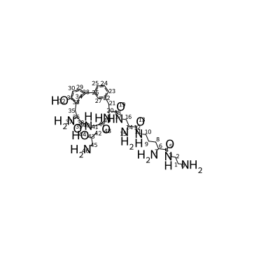 NCCNC(=O)[C@@H](N)CCCNC(=O)[C@@H](N)CNC(=O)[C@@H]1Cc2cccc(c2)-c2ccc(O)c(c2)C[C@H](N)C(=O)N[C@@H](C[C@@H](O)CN)C(=O)N1